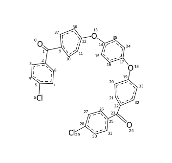 O=C(c1ccc(Cl)cc1)c1ccc(Oc2ccc(Oc3ccc(C(=O)c4ccc(Cl)cc4)cc3)cc2)cc1